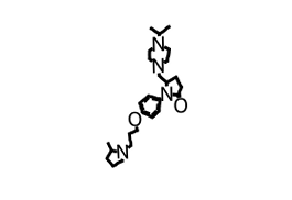 CC(C)N1CCN(CC2CCC(=O)N2c2ccc(OCCCN3CCCC3C)cc2)CC1